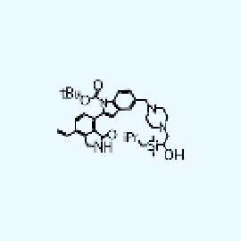 C=Cc1ccc(-c2cc3cc(CN4CCN(CC(O)[Si](C)(C)CC(C)C)CC4)ccc3n2C(=O)OC(C)(C)C)c2c1CNC2=O